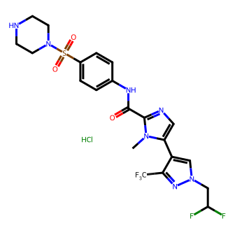 Cl.Cn1c(-c2cn(CC(F)F)nc2C(F)(F)F)cnc1C(=O)Nc1ccc(S(=O)(=O)N2CCNCC2)cc1